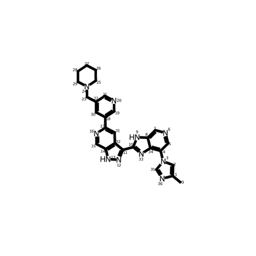 Cc1cn(-c2cncc3[nH]c(-c4n[nH]c5cnc(-c6cncc(CN7CCCCC7)c6)cc45)nc23)cn1